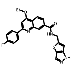 CCOc1cc(-c2ccc(F)cc2)nc2cc(C(=O)NCc3cc4[nH]ncc4s3)ccc12